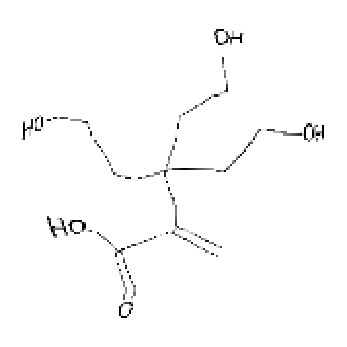 C=C(C(=O)O)C(CCO)(CCO)CCO